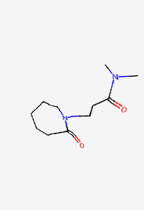 CN(C)C(=O)CCN1CCCCCC1=O